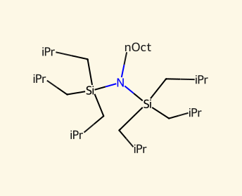 CCCCCCCCN([Si](CC(C)C)(CC(C)C)CC(C)C)[Si](CC(C)C)(CC(C)C)CC(C)C